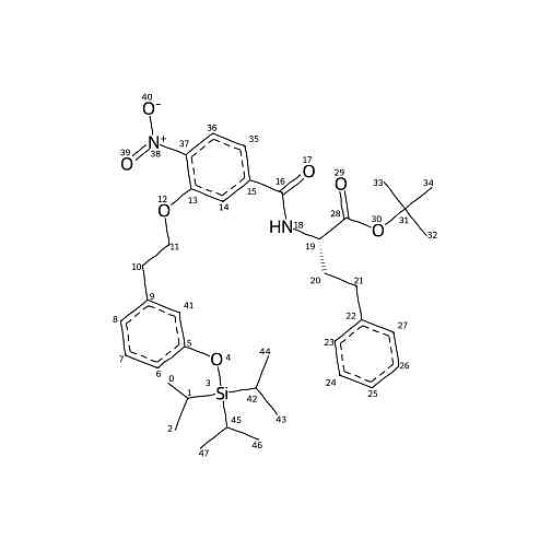 CC(C)[Si](Oc1cccc(CCOc2cc(C(=O)N[C@@H](CCc3ccccc3)C(=O)OC(C)(C)C)ccc2[N+](=O)[O-])c1)(C(C)C)C(C)C